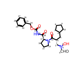 O=CN(O)C[C@@H](CC1CCCC1)C(=O)N1CCC[C@H]1C(=O)NC(=O)OCc1ccccc1